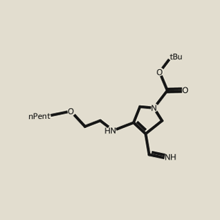 CCCCCOCCNC1=C(C=N)CN(C(=O)OC(C)(C)C)C1